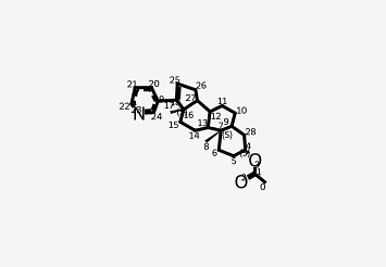 CC(=O)O[C@H]1CC[C@@]2(C)C(CCC3C2CC[C@]2(C)C(c4cccnc4)=CCC32)C1